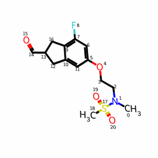 CN(CCOc1cc(F)c2c(c1)CC(C=O)C2)S(C)(=O)=O